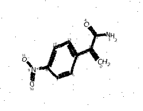 C=C(C(N)=O)c1ccc([N+](=O)[O-])cc1